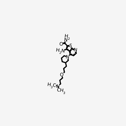 CN(C)CCCOCCCC1CCCN(c2ccnc3sc(C(N)=O)c(N)c23)C1